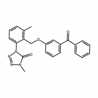 Cc1cccc(-n2nnn(C)c2=O)c1COc1cccc(C(=O)c2ccccc2)c1